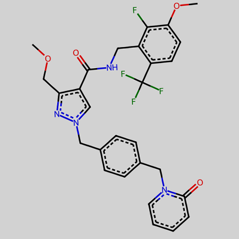 COCc1nn(Cc2ccc(Cn3ccccc3=O)cc2)cc1C(=O)NCc1c(C(F)(F)F)ccc(OC)c1F